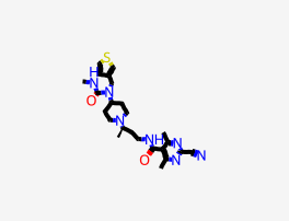 CNC(=O)N(Cc1ccsc1)C1CCN([C@H](C)CCNC(=O)c2c(C)nc(C#N)nc2C)CC1